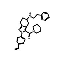 C=Cc1ccc(-n2nc3c(c2C(=O)N2CCCCC2)CC(NCCc2ccccc2)CC3)cc1